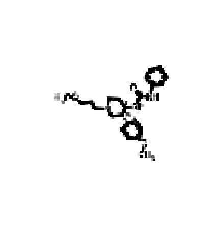 COCCCN1CC[C@@H](NC(=O)Nc2ccccc2)[C@H](c2ccc(OC)cn2)C1